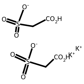 O=C(O)CS(=O)(=O)[O-].O=C(O)CS(=O)(=O)[O-].[K+].[K+]